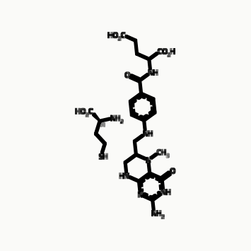 CN1c2c(nc(N)[nH]c2=O)NCC1CNc1ccc(C(=O)NC(CCC(=O)O)C(=O)O)cc1.N[C@@H](CCS)C(=O)O